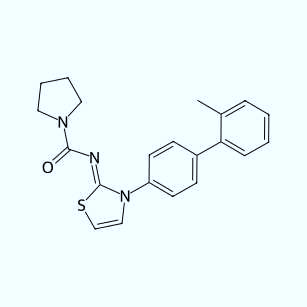 Cc1ccccc1-c1ccc(-n2ccsc2=NC(=O)N2CCCC2)cc1